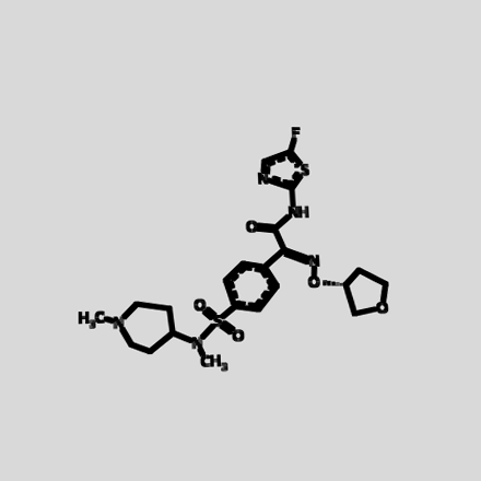 CN1CCC(N(C)S(=O)(=O)c2ccc(/C(=N\O[C@@H]3CCOC3)C(=O)Nc3ncc(F)s3)cc2)CC1